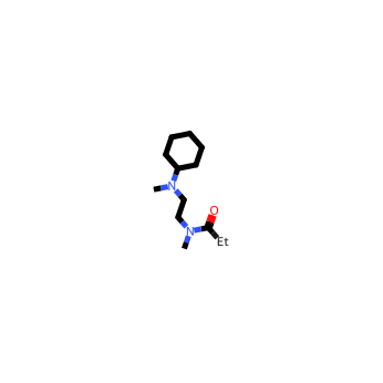 CCC(=O)N(C)CCN(C)C1CCCCC1